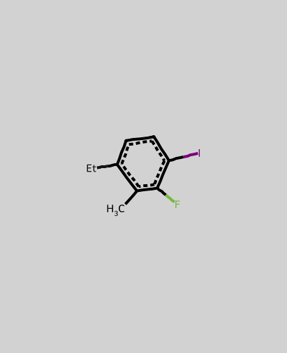 CCc1ccc(I)c(F)c1C